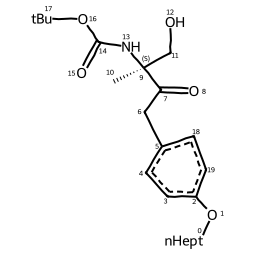 CCCCCCCOc1ccc(CC(=O)[C@](C)(CO)NC(=O)OC(C)(C)C)cc1